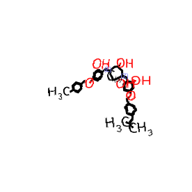 CCc1ccc(COc2ccc(/C=C3\CC[C@H](O)/C(=C\c4ccc(OCc5ccc(CC(C)C)cc5)cc4O)CC(O)C3)c(O)c2)cc1